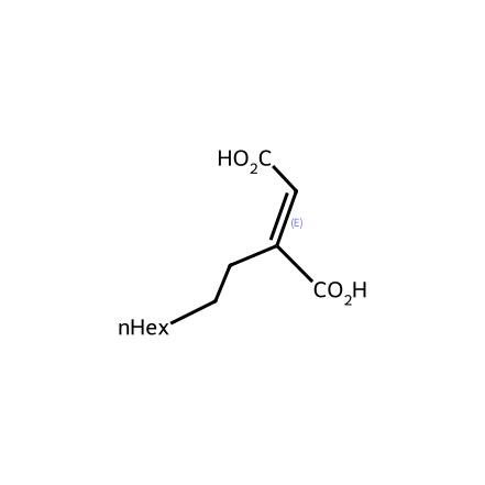 CCCCCCCC/C(=C\C(=O)O)C(=O)O